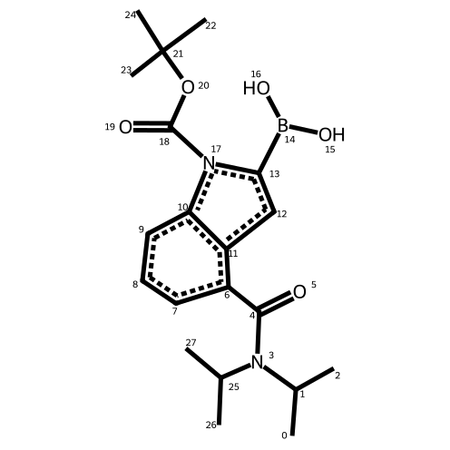 CC(C)N(C(=O)c1cccc2c1cc(B(O)O)n2C(=O)OC(C)(C)C)C(C)C